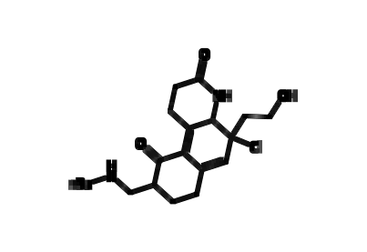 CCCCNCC1CCC2=CC(Cl)(CCO)C3NC(=O)CCC3=C2C1=O